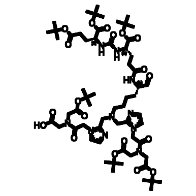 CC(C)(C)OC(=O)CC[C@H](NC(=O)N[C@@H](CCC(=O)N[C@H](C=O)CCCCN(Cc1nccn1CC(=O)N(CC(=O)O)CC(=O)OC(C)(C)C)Cc1nccn1CC(=O)N(CC(=O)OC(C)(C)C)CC(=O)OC(C)(C)C)C(=O)OC(C)(C)C)C(=O)OC(C)(C)C